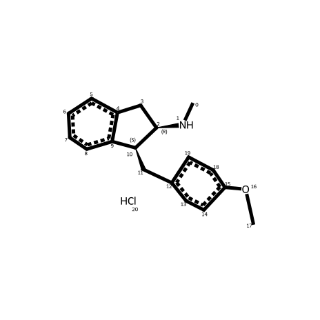 CN[C@@H]1Cc2ccccc2[C@@H]1Cc1ccc(OC)cc1.Cl